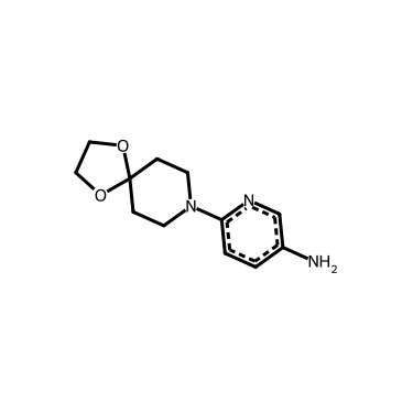 Nc1ccc(N2CCC3(CC2)OCCO3)nc1